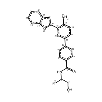 CC(C)C(CO)NC(=O)c1ccc(-c2cnc(N)c(-c3cc4ccccc4o3)n2)cc1